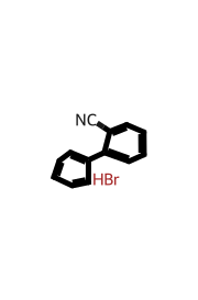 Br.N#Cc1ccccc1-c1ccccc1